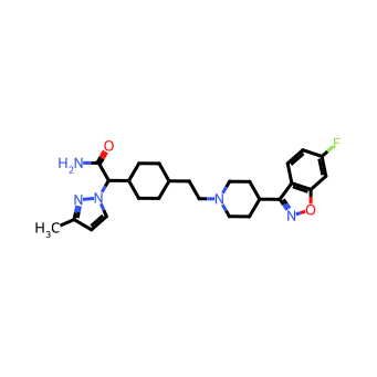 Cc1ccn(C(C(N)=O)C2CCC(CCN3CCC(c4noc5cc(F)ccc45)CC3)CC2)n1